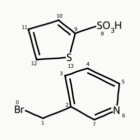 BrCc1cccnc1.O=S(=O)(O)c1cccs1